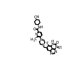 CCN1C(=O)Nc2c(F)c(CN3CCN(c4ccc(C(=O)N[C@H]5CC[C@@H](C#N)CC5)nc4C)CC3)cc3ncnc1c23